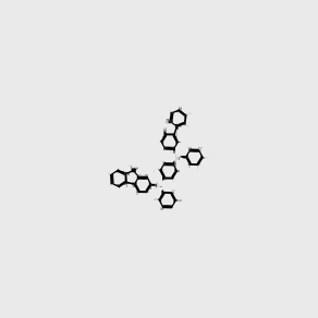 CC1(C)c2ccccc2-c2ccc(N(c3ccccc3)c3ccc(N(c4ccccc4)c4ccc5oc6ccccc6c5c4)cc3)cc21